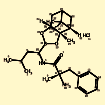 CC(C)C[C@H](NC(=O)[C@@](C)(N)Cc1ccccc1)B1O[C@@H]2CC3C[C@@H](C3(C)C)[C@]2(C)O1.Cl